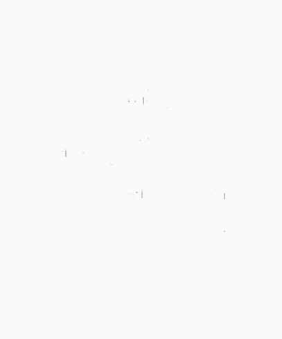 O=Cc1cccc(C2Nc3cccc4c(=O)[nH]nc(c34)C2c2cccc(C=O)c2)c1